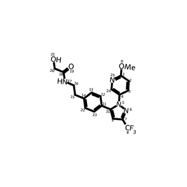 COc1ccc(-n2nc(C(F)(F)F)cc2-c2ccc(CCNC(=O)CO)cc2)cn1